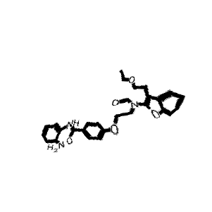 CCOCCc1c(N(C=O)CCOc2ccc(C(=O)Nc3ccccc3N)cc2)oc2ccccc12